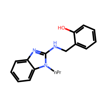 CCCn1c(NCc2ccccc2O)nc2ccccc21